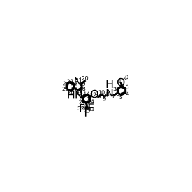 COc1cccc(CNCCCOc2cc(Nc3cc(C)nc4ccccc34)cc(C(F)(F)F)c2)c1